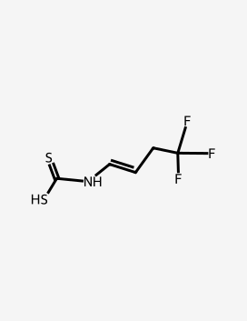 FC(F)(F)CC=CNC(=S)S